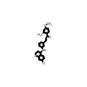 COc1ccc(C(=O)/C=C/c2cccc(Nc3ccnc4cc(Cl)ccc34)c2)c(C)c1